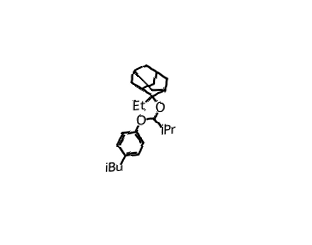 CCC(C)c1ccc(OC(OC2(CC)C3CC4CC(C3)CC2C4)C(C)C)cc1